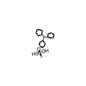 O=S(O)(O)=S.c1ccc(P(c2ccccc2)c2ccccc2)cc1